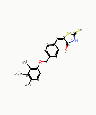 CCCc1c(OCc2ccc(C=C3SC(=S)NC3=O)cc2)ccc(C(C)=O)c1OC